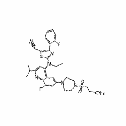 CCN(c1nc(-c2ccccc2F)c(C#N)s1)c1cc(C(C)C)nc2c(F)cc(N3CCN(S(=O)(=O)CCO)CC3)cc12